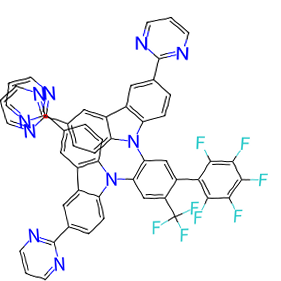 Fc1c(F)c(F)c(-c2cc(-n3c4ccc(-c5ncccn5)cc4c4cc(-c5ncccn5)ccc43)c(-n3c4ccc(-c5ncccn5)cc4c4cc(-c5ncccn5)ccc43)cc2C(F)(F)F)c(F)c1F